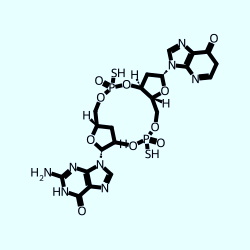 Nc1nc2c(ncn2[C@@H]2O[C@@H]3COP(=O)(S)O[C@H]4C[C@H](n5cnc6c5N=CCC6=O)O[C@@H]4COP(=O)(S)O[C@@H]2C3)c(=O)[nH]1